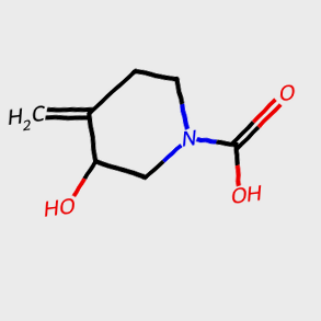 C=C1CCN(C(=O)O)CC1O